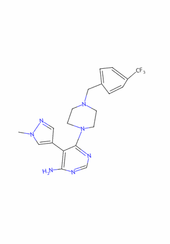 Cn1cc(-c2c(N)ncnc2N2CCN(Cc3ccc(C(F)(F)F)cc3)CC2)cn1